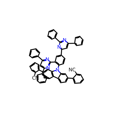 N#Cc1ccccc1-c1ccc2c3ccc(-c4ccccc4C#N)cc3n(-c3ccc(-c4cc(-c5ccccc5)nc(-c5ccccc5)n4)cc3-c3nc(-c4ccccc4)cc(-c4ccccc4)n3)c2c1